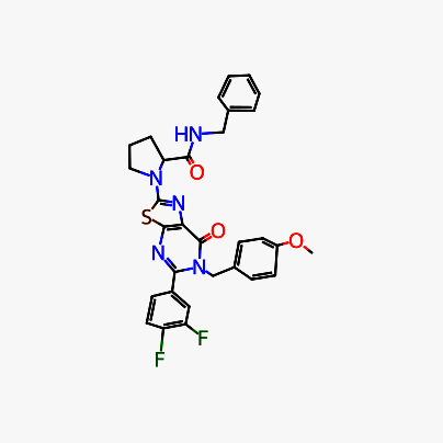 COc1ccc(Cn2c(-c3ccc(F)c(F)c3)nc3sc(N4CCCC4C(=O)NCc4ccccc4)nc3c2=O)cc1